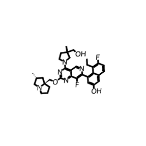 CCc1c(F)ccc2cc(O)cc(-c3ncc4c(N5CCC(C)(CO)C5)nc(OC[C@@]56CCCN5C[C@H](C)C6)nc4c3F)c12